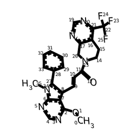 COc1ncnc2c1c(/C=C/C(=O)N1CCc3c(ncnc3C(F)(F)F)C1)c(-c1ccccc1)n2C